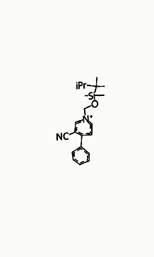 CC(C)C(C)(C)[Si](C)(C)OC[n+]1ccc(-c2ccccc2)c(C#N)c1